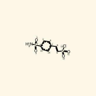 NS(=O)(=O)c1ccc(/C=C/S(=O)(=O)Cl)cc1